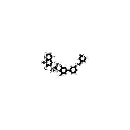 CC(C)c1cc(-c2cccc(OCc3ccncc3)c2)cc(C(C)C)c1NC(=O)N(C)c1cc2cccnc2[nH]c1=O